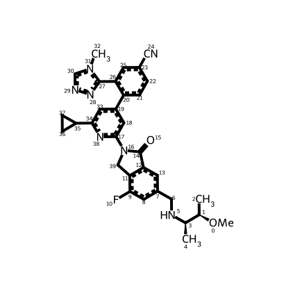 CO[C@H](C)[C@@H](C)NCc1cc(F)c2c(c1)C(=O)N(c1cc(-c3ccc(C#N)cc3-c3nncn3C)cc(C3CC3)n1)C2